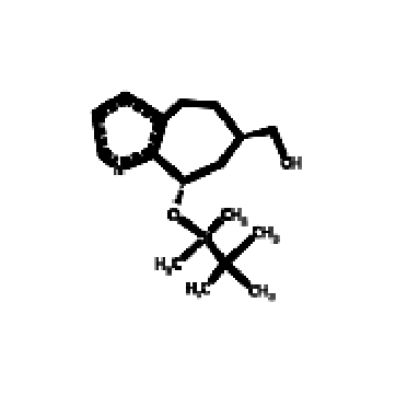 CC(C)(C)[Si](C)(C)O[C@H]1C[C@H](CO)CCc2cccnc21